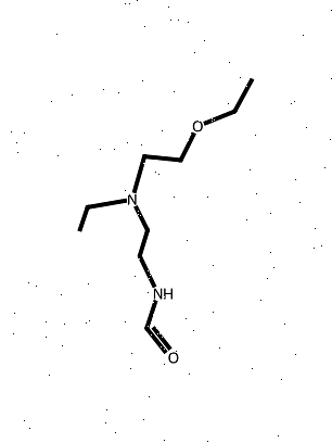 CCOCCN(CC)CCNC=O